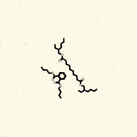 CCCCC(CC)COC(=O)CCCCCCCCC(=O)OCC(CC)CCCC.CCCCOC(=O)c1ccccc1C(=O)OCCCC